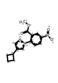 COC(=O)c1cc([N+](=O)[O-])ccc1-n1cc(C2CCC2)cn1